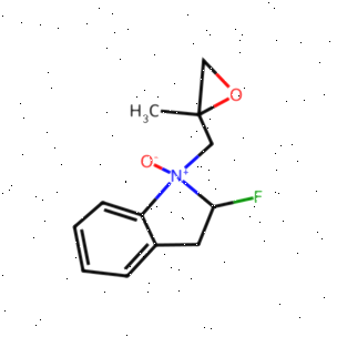 CC1(C[N+]2([O-])c3ccccc3CC2F)CO1